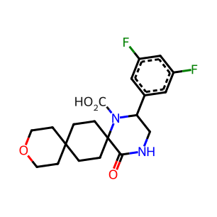 O=C(O)N1C(c2cc(F)cc(F)c2)CNC(=O)C12CCC1(CCOCC1)CC2